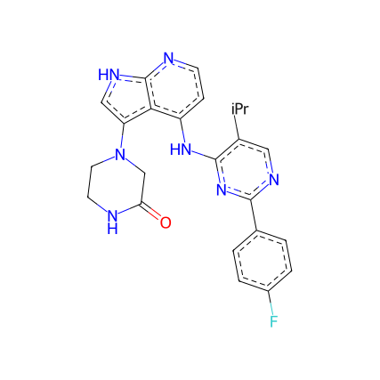 CC(C)c1cnc(-c2ccc(F)cc2)nc1Nc1ccnc2[nH]cc(N3CCNC(=O)C3)c12